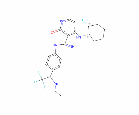 CCNC(c1ccc(NC(=N)c2c(N[C@H]3CCCC[C@H]3F)cc[nH]c2=O)cc1)C(F)(F)F